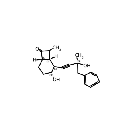 CC1C(=O)[C@H]2CC[C@@H](O)[C@H](C#C[C@@](C)(O)Cc3ccccc3)[C@@H]12